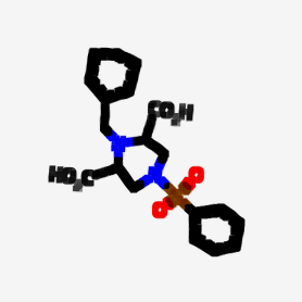 O=C(O)C1CN(S(=O)(=O)c2ccccc2)CC(C(=O)O)N1Cc1ccccc1